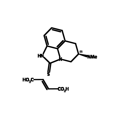 CN[C@@H]1Cc2cccc3[nH]c(=S)n(c23)C1.O=C(O)C=CC(=O)O